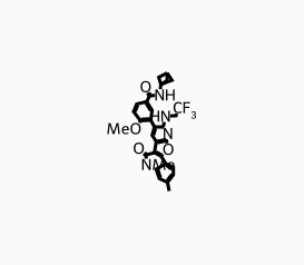 CNC(=O)c1c(-c2ccc(C)cc2)oc2nc(NCC(F)(F)F)c(-c3cc(C(=O)NC45CC(C4)C5)ccc3OC)cc12